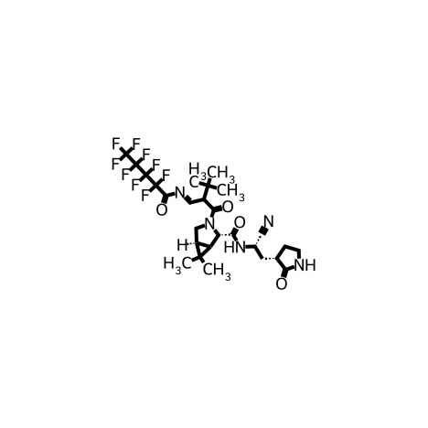 CC(C)(C)C(/C=N/C(=O)C(F)(F)C(F)(F)C(F)(F)C(F)(F)F)C(=O)N1C[C@H]2C([C@H]1C(=O)N[C@H](C#N)C[C@@H]1CCNC1=O)C2(C)C